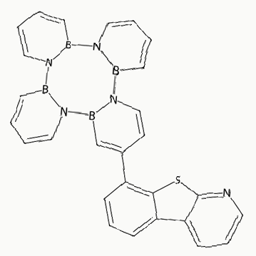 C1=CB2N(C=C1)B1C=CC=CN1B1C=C(c3cccc4c3sc3ncccc34)C=CN1B1C=CC=CN21